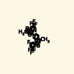 CC(CS(=O)(=O)c1cc(F)cc(C(F)(F)F)c1)C1CCN(C(=O)c2ncc(C(F)(F)F)cc2S(C)(=O)=O)CC1